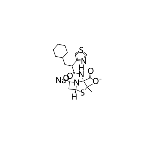 CC1(C)S[C@@H]2CC(=O)N2[C@@]1(NC(=O)C(CC1CCCCC1)c1cscn1)C(=O)[O-].[Na+]